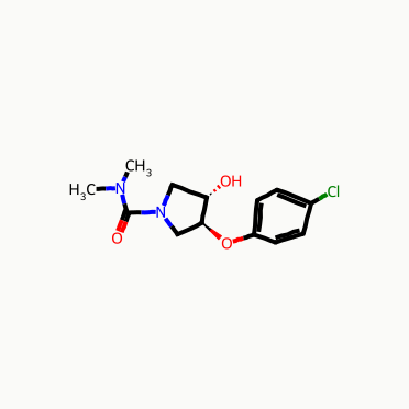 CN(C)C(=O)N1C[C@H](Oc2ccc(Cl)cc2)[C@@H](O)C1